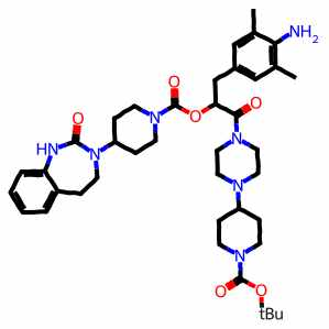 Cc1cc(CC(OC(=O)N2CCC(N3CCc4ccccc4NC3=O)CC2)C(=O)N2CCN(C3CCN(C(=O)OC(C)(C)C)CC3)CC2)cc(C)c1N